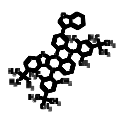 Cc1cc(C(C)(C)C)cc(C)c1N1c2cc(-c3coc4ccccc34)ccc2B2c3sc4ccc(C(C)(C)C)cc4c3N(c3c(C)cc(C(C)(C)C)cc3C)c3cccc1c32